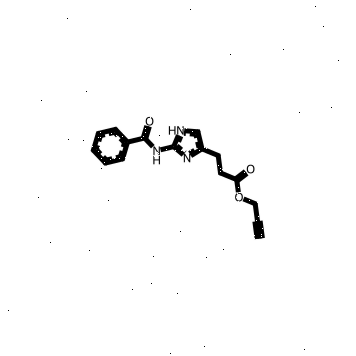 C#CCOC(=O)CCc1c[nH]c(NC(=O)c2ccccc2)n1